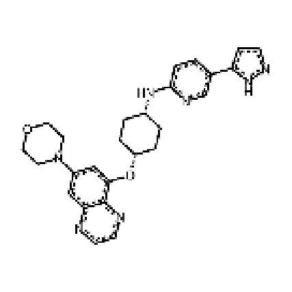 c1cc(-c2ccc(N[C@H]3CC[C@@H](Oc4cc(N5CCOCC5)cc5nccnc45)CC3)nc2)[nH]n1